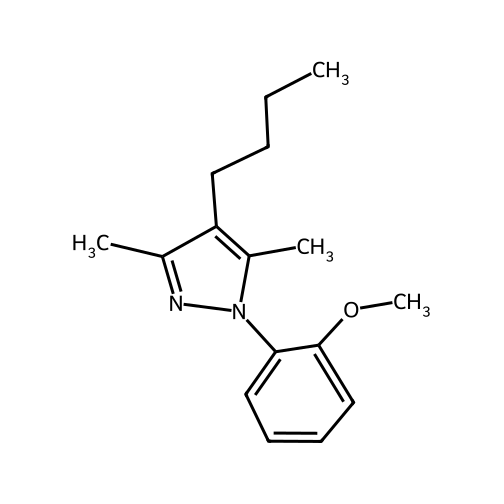 CCCCc1c(C)nn(-c2ccccc2OC)c1C